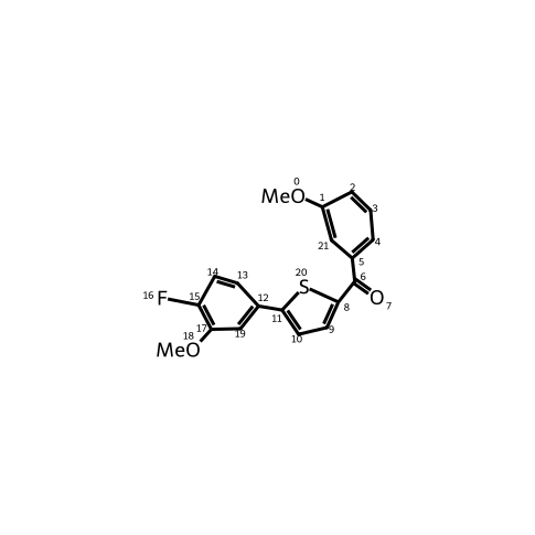 COc1cccc(C(=O)c2ccc(-c3ccc(F)c(OC)c3)s2)c1